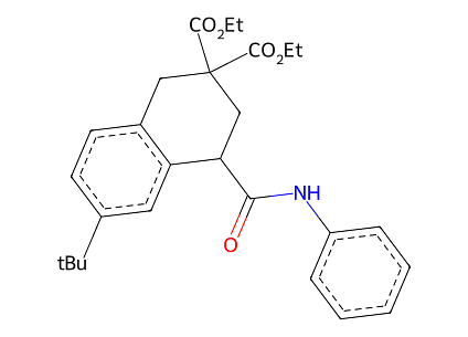 CCOC(=O)C1(C(=O)OCC)Cc2ccc(C(C)(C)C)cc2C(C(=O)Nc2ccccc2)C1